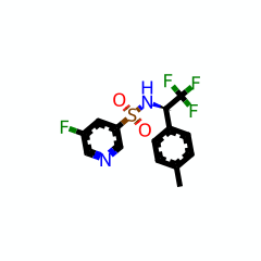 Cc1ccc([C@@H](NS(=O)(=O)c2cncc(F)c2)C(F)(F)F)cc1